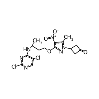 Cc1c([N+](=O)[O-])c(OCCC(C)Nc2nc(Cl)ncc2Cl)nn1C1CC(=O)C1